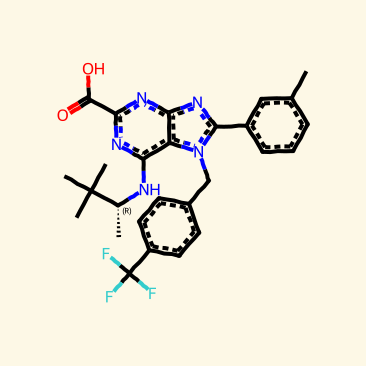 Cc1cccc(-c2nc3nc(C(=O)O)nc(N[C@H](C)C(C)(C)C)c3n2Cc2ccc(C(F)(F)F)cc2)c1